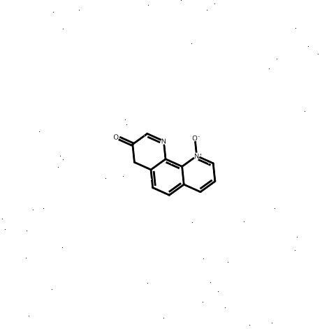 O=C1C=Nc2c(ccc3ccc[n+]([O-])c23)C1